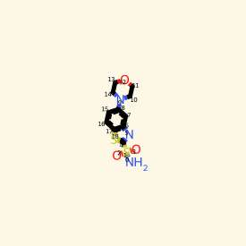 NS(=O)(=O)c1nc2cc(N3CCOCC3)ccc2s1